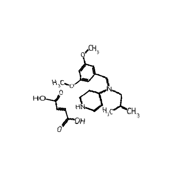 COc1cc(CN(CC(C)C)C2CCNCC2)cc(OC)c1.O=C(O)C=CC(=O)O